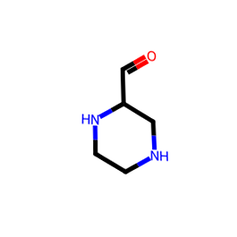 O=CC1CNCCN1